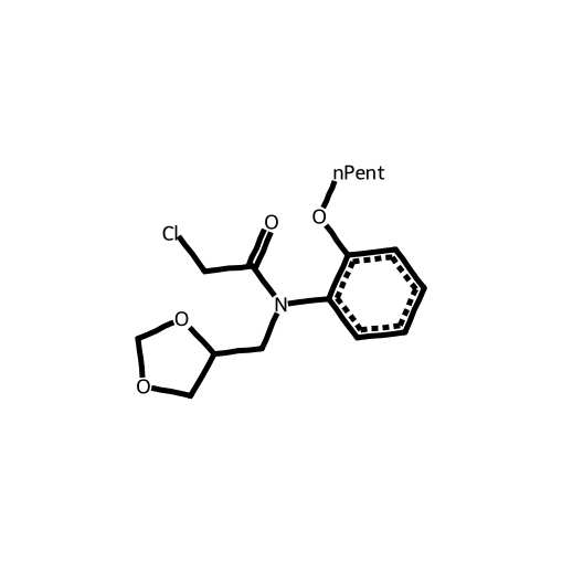 CCCCCOc1ccccc1N(CC1COCO1)C(=O)CCl